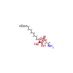 CCCCCCCCCCCCCCCCCCC(OP(=O)(O)OCCN)[C@@H](O)CO